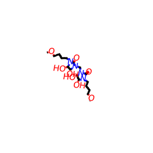 COCCCCN1C(=O)N(CN2C(=O)N(CCCCOC)C(O)C2O)C(O)C1O